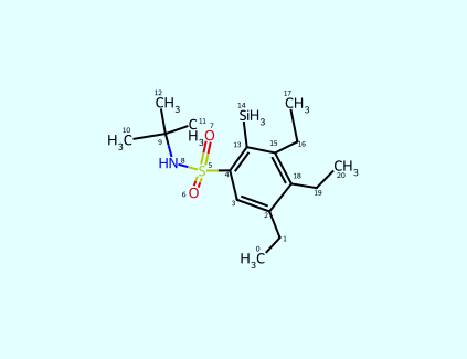 CCc1cc(S(=O)(=O)NC(C)(C)C)c([SiH3])c(CC)c1CC